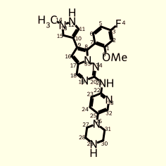 COc1cc(F)ccc1-c1c(C2=CNN(C)C2)cc2cnc(Nc3ccc(N4CCNCC4)cn3)nn12